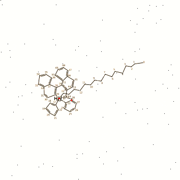 CCCCCCCCCCCCCCCC[PH](c1ccccc1)(c1ccccc1)c1ccc2ccccc2c1-c1c([PH](C)=O)ccc2ccccc12